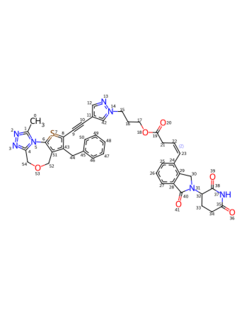 Cc1nnc2n1-c1sc(C#Cc3cnn(CCCOC(=O)C/C=C\c4cccc5c4CN(C4CCC(=O)NC4=O)C5=O)c3)c(Cc3ccccc3)c1COC2